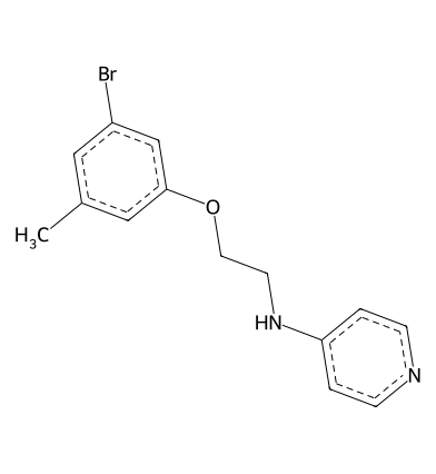 Cc1cc(Br)cc(OCCNc2ccncc2)c1